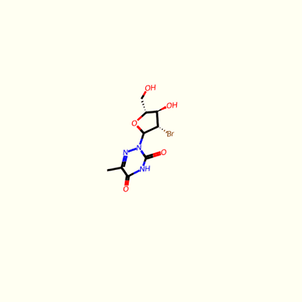 Cc1nn(C2O[C@H](CO)[C@@H](O)[C@@H]2Br)c(=O)[nH]c1=O